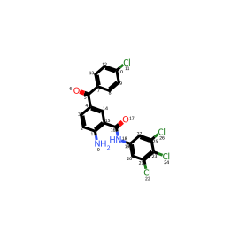 Nc1ccc(C(=O)c2ccc(Cl)cc2)cc1C(=O)Nc1cc(Cl)c(Cl)c(Cl)c1